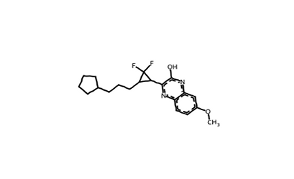 COc1ccc2nc(C3C(CCCC4CCCC4)C3(F)F)c(O)nc2c1